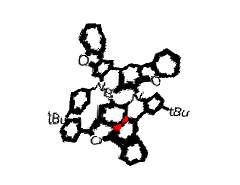 CC(C)(C)c1ccc(N2B3c4cc5c(-c6ccccc6)oc(-c6ccccc6)c5cc4N(c4ccc(C(C)(C)C)cc4-c4ccccc4)c4c3c(cc3c4oc4ccccc43)-c3cc4c(cc32)oc2ccccc24)cc1